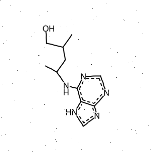 CC(CO)CC(C)Nc1ncnc2nc[nH]c12